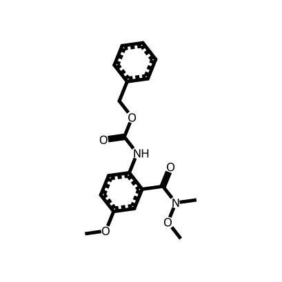 COc1ccc(NC(=O)OCc2ccccc2)c(C(=O)N(C)OC)c1